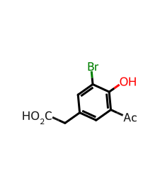 CC(=O)c1cc(CC(=O)O)cc(Br)c1O